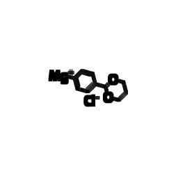 [Cl-].[Mg+][c]1ccc(C2OCCCO2)cc1